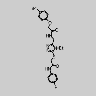 CCn1c(CNC(=O)COc2ccc(C(C)C)cc2)nnc1SCC(=O)Nc1ccc(F)cc1